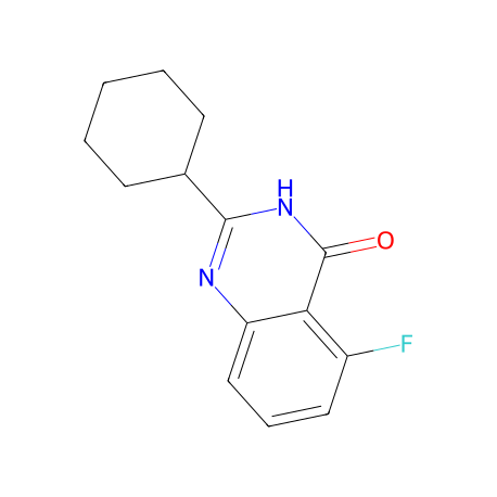 O=c1[nH]c(C2CCCCC2)nc2cccc(F)c12